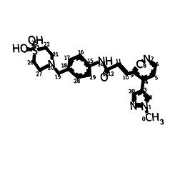 Cn1cc(-c2ccncc2C=CC(=O)Nc2ccc(CN3CCS(O)(O)CC3)cc2)cn1